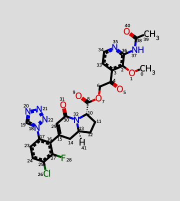 COc1c(C(=O)COC(=O)[C@@H]2CC[C@H]3CC(c4c(-n5cnnn5)ccc(Cl)c4F)=CC(=O)N32)ccnc1NC(C)=O